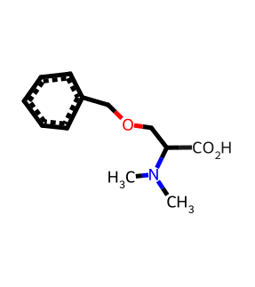 CN(C)C(COCc1ccccc1)C(=O)O